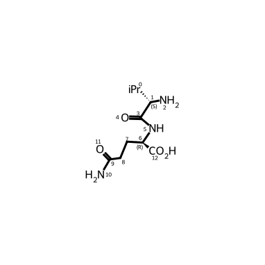 CC(C)[C@H](N)C(=O)N[C@H](CCC(N)=O)C(=O)O